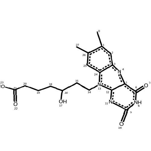 Cc1cc2nc3c(=O)[nH]c(=O)nc-3n(CCC(O)CCCC(=O)O)c2cc1C